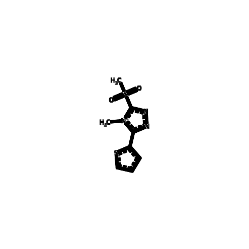 Cn1c(-c2cccs2)nnc1S(C)(=O)=O